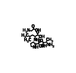 CC(C)CC(N)C(=O)O.CC(N)C(=O)O.NCC(=O)O.O=C(O)[C@@H]1CCCN1